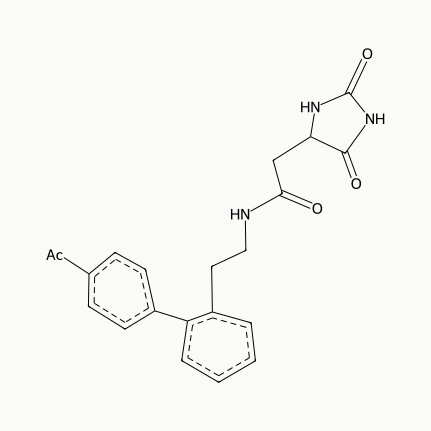 CC(=O)c1ccc(-c2ccccc2CCNC(=O)CC2NC(=O)NC2=O)cc1